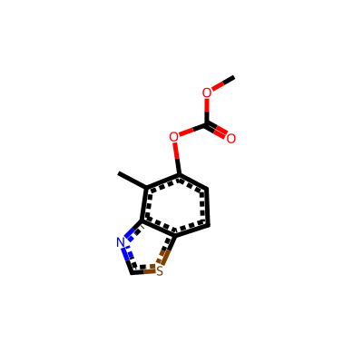 COC(=O)Oc1ccc2scnc2c1C